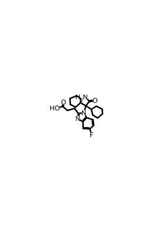 NC(=O)C(C1CCCCC1)(C1CCCCC1)n1c(CCC(=O)O)nc2cc(F)ccc21